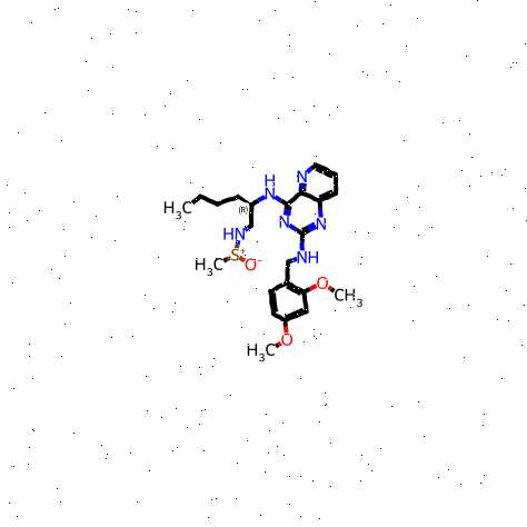 CCCC[C@H](CN[S+](C)[O-])Nc1nc(NCc2ccc(OC)cc2OC)nc2cccnc12